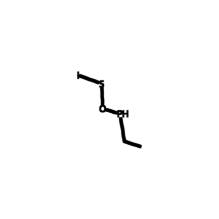 CCPOSI